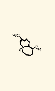 OC1CCC2[C@H](CCC[C@@H]2O)C1